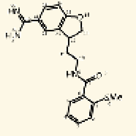 CSc1ccccc1C(=O)NCCC1COc2ccc(C(=N)N)cc21